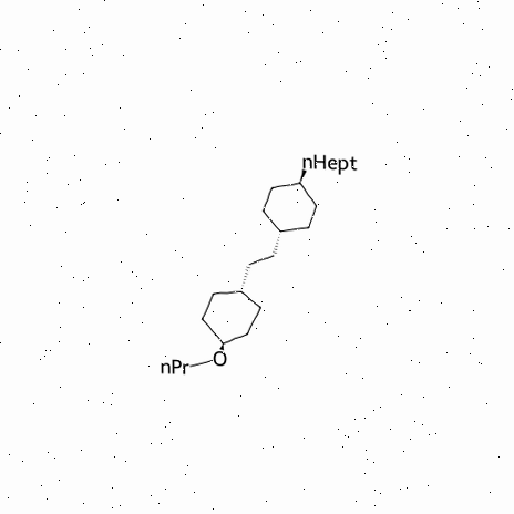 CCCCCCC[C@H]1CC[C@H](CC[C@H]2CC[C@H](OCCC)CC2)CC1